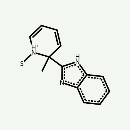 CC1(c2nc3ccccc3[nH]2)C=CC=C[NH+]1[S-]